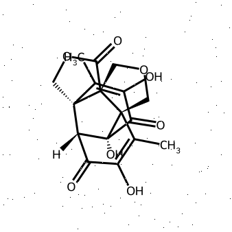 CC1=C(O)C(=O)[C@H]2[C@]3(O)C(=O)C(O)=C(C)[C@]24COC(=O)[C@@]42COC[C@]123